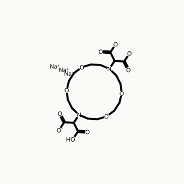 O=C([O-])C(C(=O)[O-])N1CCOCCOCCN(C(C(=O)[O-])C(=O)O)CCOCCOCC1.[Na+].[Na+].[Na+]